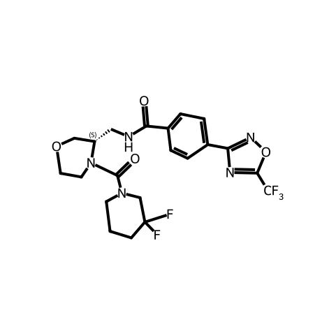 O=C(NC[C@H]1COCCN1C(=O)N1CCCC(F)(F)C1)c1ccc(-c2noc(C(F)(F)F)n2)cc1